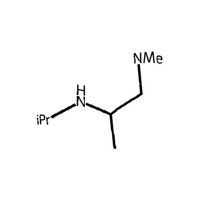 CNCC(C)NC(C)C